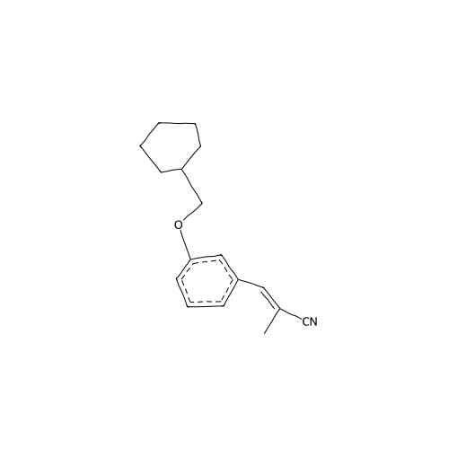 CC(C#N)=Cc1cccc(OCC2CCCCC2)c1